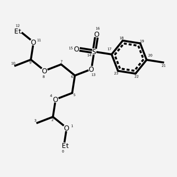 CCOC(C)OCC(COC(C)OCC)OS(=O)(=O)c1ccc(C)cc1